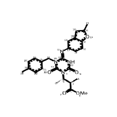 COC(=O)[C@H](C)[C@H](C)n1c(=O)[nH]/c(=N\c2ccc3oc(C)cc3c2)n(Cc2ccc(C)cc2)c1=O